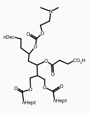 CCCCCCCCCCCCC(CC(OC(=O)CCC(=O)O)C(COC(=O)CCCCCCC)COC(=O)CCCCCCC)OC(=O)OCCN(C)C